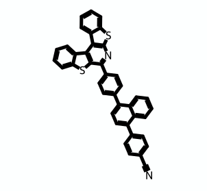 N#Cc1ccc(-c2ccc(-c3ccc(-c4nc5sc6ccccc6c5c5c4sc4ccccc45)cc3)c3ccccc23)cc1